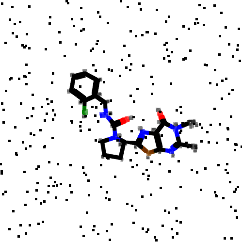 CCc1nc2sc([C@H]3CCCN3C(=O)NCc3ccccc3Cl)nc2c(=O)n1C